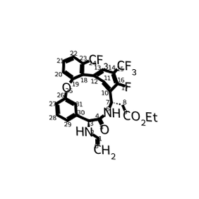 C=CN[C@@H]1C(=O)N[C@@H](CC(=O)OCC)c2cc(cc(C(F)(F)F)c2F)-c2c(cccc2C(F)(F)F)Oc2cccc1c2